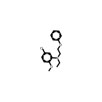 CCN(CCOc1ccccc1)c1cc(Cl)ccc1OC